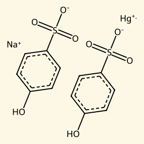 O=S(=O)([O-])c1ccc(O)cc1.O=S(=O)([O-])c1ccc(O)cc1.[Hg+].[Na+]